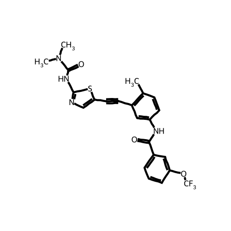 Cc1ccc(NC(=O)c2cccc(OC(F)(F)F)c2)cc1C#Cc1cnc(NC(=O)N(C)C)s1